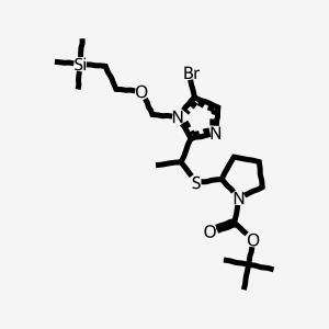 CC(SC1CCCN1C(=O)OC(C)(C)C)c1ncc(Br)n1COCC[Si](C)(C)C